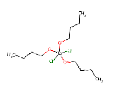 CCCC[O][Ta]([Cl])([Cl])([O]CCCC)[O]CCCC